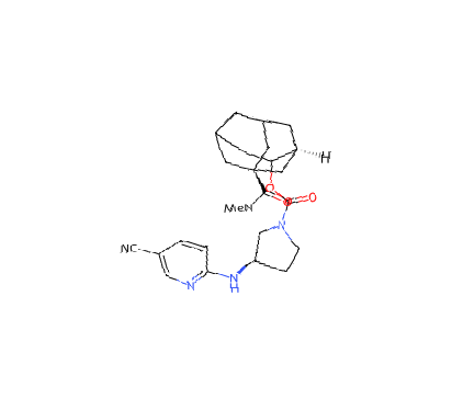 CNC(=O)[C@]12CC3CC(C1)C(OC(=O)N1CC[C@@H](Nc4ccc(C#N)cn4)C1)[C@@H](C3)C2